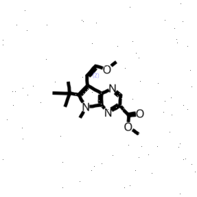 CO/C=C\c1c(C(C)(C)C)n(C)c2nc(C(=O)OC)cnc12